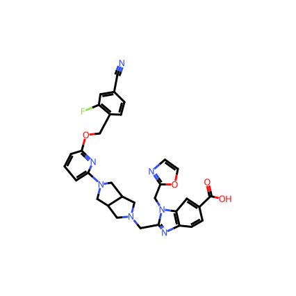 N#Cc1ccc(COc2cccc(N3CC4CN(Cc5nc6ccc(C(=O)O)cc6n5Cc5ncco5)CC4C3)n2)c(F)c1